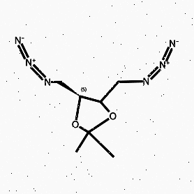 CC1(C)OC(CN=[N+]=[N-])[C@H](CN=[N+]=[N-])O1